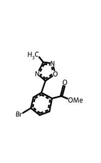 COC(=O)c1ccc(Br)cc1-c1nc(C)no1